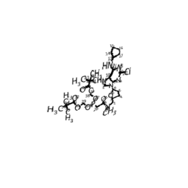 CN(CC1CCC(n2cnc3c(NC4CCCC4)nc(Cl)nc32)O1)C(=O)CP(OCOC(=O)C(C)(C)C)OCOC(=O)C(C)(C)C